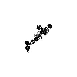 CC1=NCCN1CC[C@H](CSc1ccccc1)Nc1ccc(S(=O)(=O)NC(=O)c2ccc(N3CCN(Cc4ccccc4-c4ccc(Cl)cc4)CC3)cc2)cc1C(F)(F)F